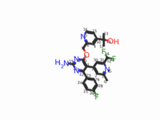 Cc1cc(-c2c(OCc3cc(C(C)(C)O)ccn3)nc(N)nc2-c2ccc(F)cc2)cc(C(F)F)n1